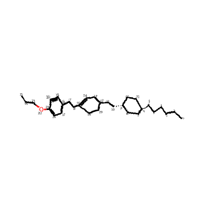 CCCCCC[C@H]1CC[C@H](CCC2CC=C(CCc3ccc(OCCC)cc3)CC2)CC1